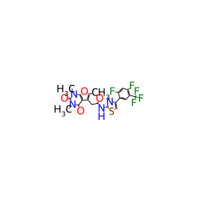 Cc1oc2c(c1CC(=O)Nc1nc(-c3cc(C(F)(F)F)c(F)cc3F)cs1)c(=O)n(C)c(=O)n2C